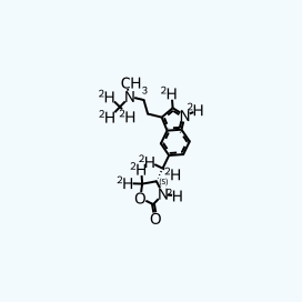 [2H]c1c(CCN(C)C([2H])([2H])[2H])c2cc(C([2H])([2H])[C@@H]3N([2H])C(=O)OC3([2H])[2H])ccc2n1[2H]